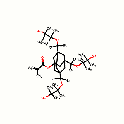 C=C(C)C(=O)OC12CC3(C(CC)(CC)OC(C)(C)C(C)(C)O)CC(C(CC)(CC)OC(C)(C)C(C)(C)O)(C1)CC(C(CC)(CC)OC(C)(C)C(C)(C)O)(C2)C3